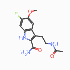 COc1cc2c(CCNC(C)=O)c(C(N)=O)[nH]c2cc1F